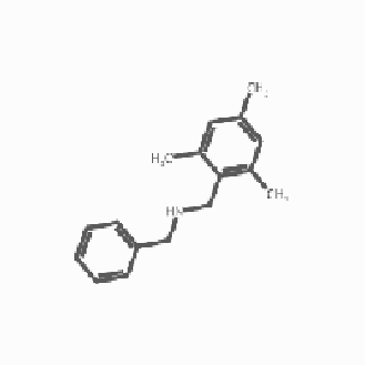 Cc1cc(C)c(CNCc2ccccc2)c(C)c1